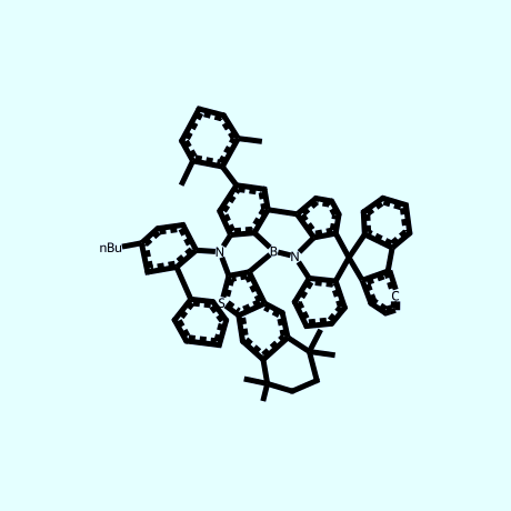 CCCCc1ccc(N2c3cc(-c4c(C)cccc4C)cc4c3B(c3c2sc2cc5c(cc32)C(C)(C)CCC5(C)C)N2c3ccccc3C3(c5ccccc5-c5ccccc53)c3cccc-4c32)c(-c2ccccc2)c1